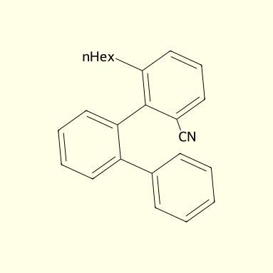 CCCCCCc1cccc(C#N)c1-c1ccccc1-c1ccccc1